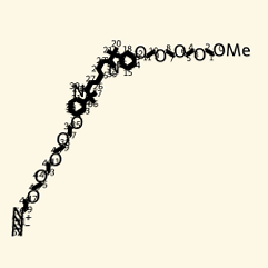 COCCOCCOCCOCCOc1ccc2c(c1)C(C)(C)C(\C=C/C=C\C=C1\N(C)c3ccc(OCCOCCOCCOCCOCCN=[N+]=[N-])cc3C1(C)C)=[N+]2C